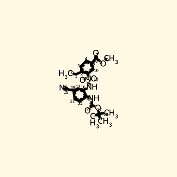 CCc1ccc(C(=O)OC)cc1S(=O)(=O)Nc1cc(C#N)ccc1NC(=O)OC(C)(C)C